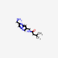 CC(CC(=O)NCc1cnn2cc(CN)nc2c1)C(F)(F)F